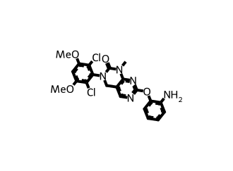 COc1cc(OC)c(Cl)c(N2Cc3cnc(Oc4ccccc4N)nc3N(C)C2=O)c1Cl